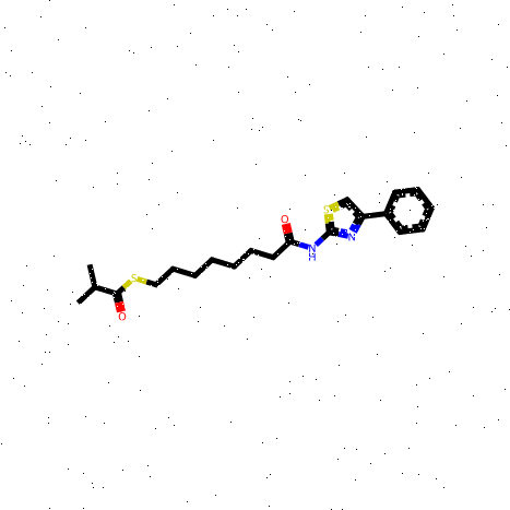 CC(C)C(=O)SCCCCCCCC(=O)Nc1nc(-c2ccccc2)cs1